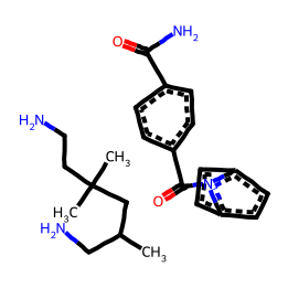 CC(CN)CC(C)(C)CCN.NC(=O)c1ccc(C(=O)n2c3ccc2cc3)cc1